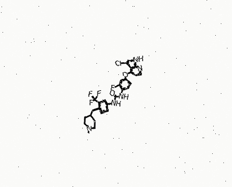 CN1CCC(Cc2ccc(NC(=O)Nc3ccc(Oc4ccnc5[nH]cc(Cl)c45)cc3F)cc2C(F)(F)F)CC1